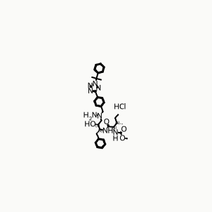 CC[C@H](C)[C@H](NC(=O)OC)C(=O)N[C@@H](Cc1ccccc1)[C@@H](O)CN(N)Cc1ccc(-c2nnn(C(C)(C)c3ccccc3)n2)cc1.Cl